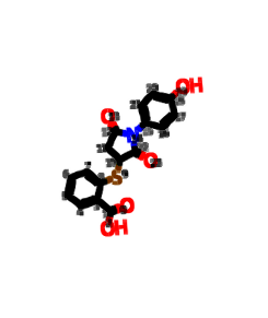 O=C(O)c1ccccc1SC1CC(=O)N(c2ccc(O)cc2)C1=O